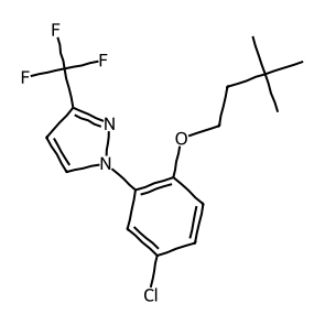 CC(C)(C)CCOc1ccc(Cl)cc1-n1ccc(C(F)(F)F)n1